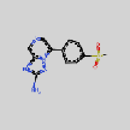 CS(=O)(=O)c1ccc(-c2cncc3nc(N)nn23)cc1